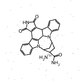 NC(=O)[C@]1(N)CC2CC1n1c3c(c4ccccc41)C1=C(C(=O)NC1=O)C1c4ccccc4N2C31